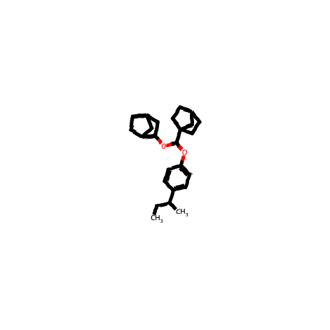 CCC(C)c1ccc(OC(OC2CC3CCC2C3)C23CCC(CC2)C3)cc1